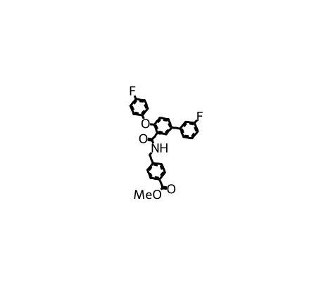 COC(=O)c1ccc(CNC(=O)c2cc(-c3cccc(F)c3)ccc2Oc2ccc(F)cc2)cc1